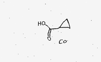 O=C(O)C1CC1.[Co]